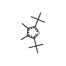 Cc1c(C(C)(C)C)sc(C(C)(C)C)c1C